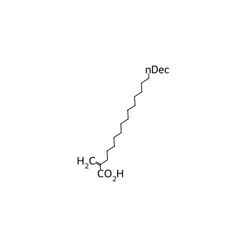 C=C(CCCCCCCCCCCCCCCCCCCCCCC)C(=O)O